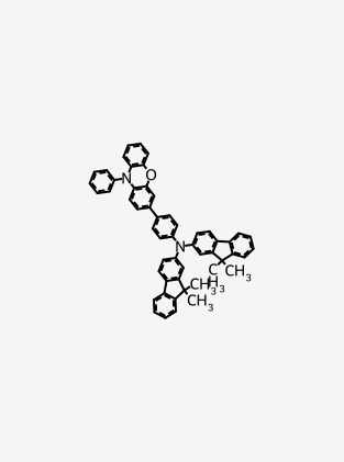 CC1(C)c2ccccc2-c2ccc(N(c3ccc(-c4ccc5c(c4)Oc4ccccc4N5c4ccccc4)cc3)c3ccc4c(c3)C(C)(C)c3ccccc3-4)cc21